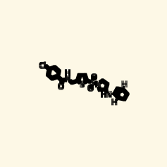 O=C(NCc1ccc(S(=O)(=O)N2CCC(N[C@@H]3C[C@H]4CC[C@@H]3C4)C2)s1)c1ccc(Cl)cc1